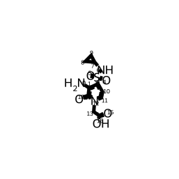 Nc1c(S(=O)(=O)NC2CC2)ccn(CC(=O)O)c1=O